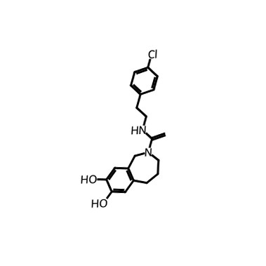 C=C(NCCc1ccc(Cl)cc1)N1CCCc2cc(O)c(O)cc2C1